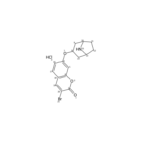 Cl.O=c1oc2cc(OC3CC4CCC(C3)N4)ccc2cc1Br